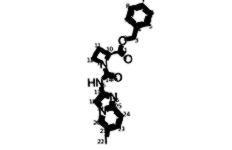 O=C(OCc1ccccc1)[C@@H]1CCN1C(=O)Nc1cn2cc(I)ccc2n1